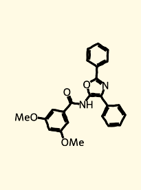 COc1cc(OC)cc(C(=O)Nc2oc(-c3ccccc3)nc2-c2ccccc2)c1